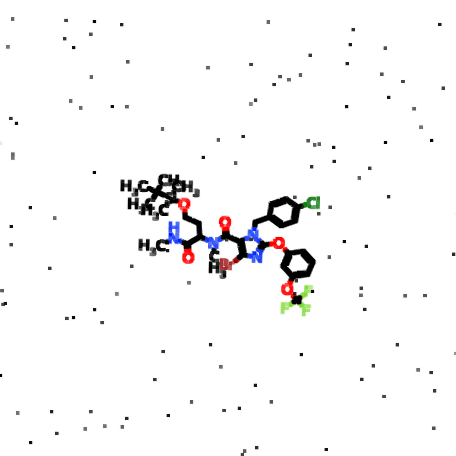 CNC(=O)C(CCO[Si](C)(C)C(C)(C)C)N(C)C(=O)c1c(Br)nc(Oc2cccc(OC(F)(F)F)c2)n1Cc1ccc(Cl)cc1